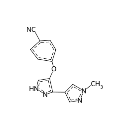 Cn1cc(-c2n[nH]cc2Oc2ccc(C#N)cc2)cn1